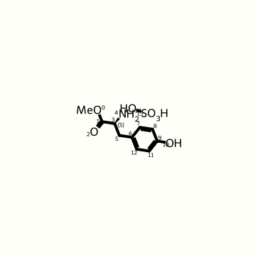 COC(=O)[C@@H](N)Cc1ccc(O)cc1.O=S(=O)(O)O